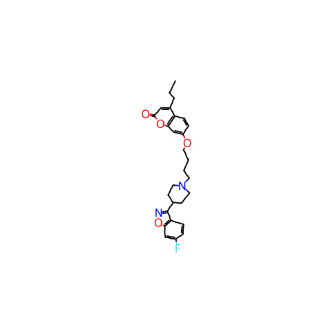 CCCc1cc(=O)oc2cc(OCCCCN3CCC(c4noc5cc(F)ccc45)CC3)ccc12